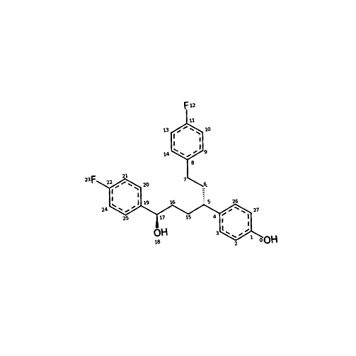 Oc1ccc([C@@H]([CH]Cc2ccc(F)cc2)CC[C@@H](O)c2ccc(F)cc2)cc1